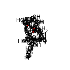 CN[C@H](CC(C)C)C(=O)NC1C(=O)N[C@@H](CC(N)=O)C(=O)N[C@H]2C(=O)N[C@H]3C(=O)N[C@H](C(=O)N[C@@H](C(=O)O)c4cc(O)cc(O)c4-c4cc3ccc4O)[C@H](OC3C[C@](C)(N)[C@@H](O)[C@H](C)O3)c3ccc(c(Cl)c3)Oc3cc2cc(c3O[C@@H]2O[C@H](CO)[C@@H](O[C@@H]3O[C@H](CNCc4cccc(OC(F)(F)F)c4)[C@H](O)[C@H](O)[C@H]3O)[C@H](O)[C@H]2O)Oc2ccc(cc2Cl)[C@H]1O